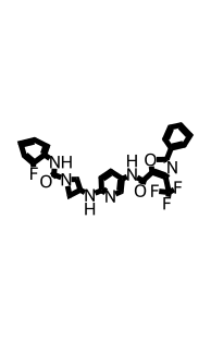 O=C(Nc1ccc(NC2CN(C(=O)Nc3ccccc3F)C2)nc1)c1oc(-c2ccccc2)nc1C(F)(F)F